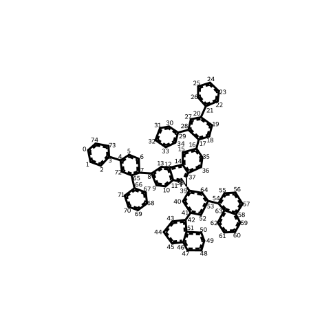 c1ccc(-c2ccc(-c3ccc4c(c3)c3cc(-c5ccc(-c6ccccc6)cc5-c5ccccc5)ccc3n4-c3cc(-c4cccc5ccccc45)cc(-c4cccc5ccccc45)c3)c(-c3ccccc3)c2)cc1